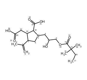 C=C(C)C1CN(CC(O)COC(=O)C(C)(C)CC)C(C(=O)O)C1CC(=O)O